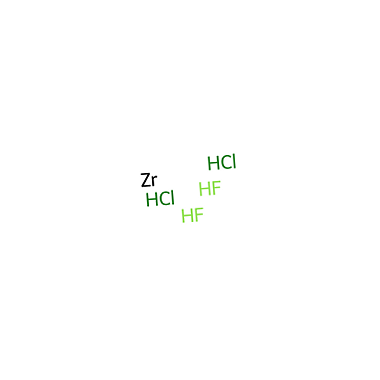 Cl.Cl.F.F.[Zr]